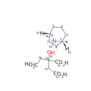 CN1[C@@H]2CCC[C@H]1CC2.O=C(O)CC(O)(CC(=O)O)C(=O)O